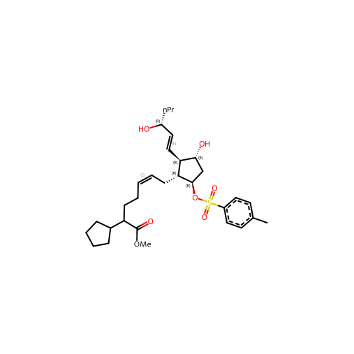 CCC[C@@H](O)/C=C/[C@@H]1[C@@H](C/C=C\CCC(C(=O)OC)C2CCCC2)[C@H](OS(=O)(=O)c2ccc(C)cc2)C[C@H]1O